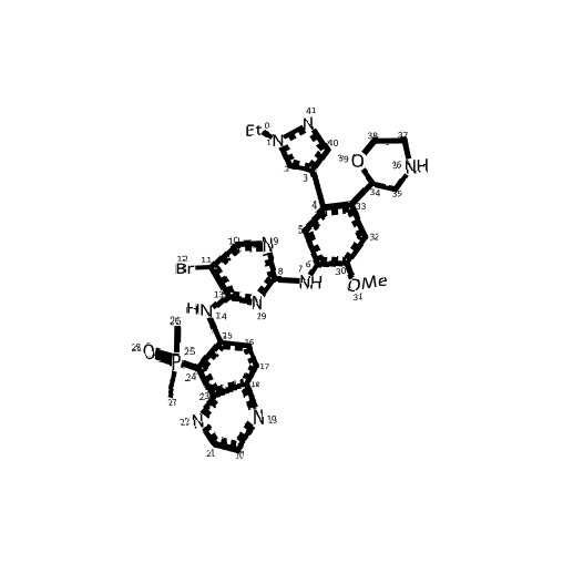 CCn1cc(-c2cc(Nc3ncc(Br)c(Nc4ccc5nccnc5c4P(C)(C)=O)n3)c(OC)cc2C2CNCCO2)cn1